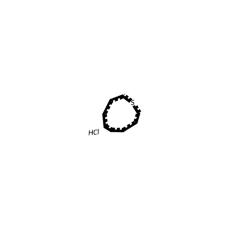 Cl.c1ccccsccc1